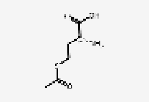 CC(=O)SCC[C@@H](N)C(=O)O